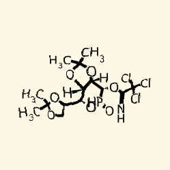 CC1(C)O[C@H]2[C@@H]([C@H]3COC(C)(C)O3)O[PH](=O)[C@@H](OC(=N)C(Cl)(Cl)Cl)[C@H]2O1